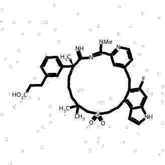 CN/C1=N\C(=N)[C@@](C)(c2cccc(CCC(=O)O)c2)CCCC(C)(C)CS(=O)(=O)CCc2c(c(F)cc3[nH]ccc23)Cc2ccnc1c2